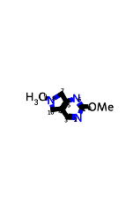 COc1ncc2c(n1)CN(C)C2